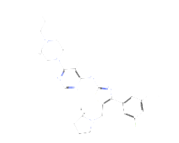 CCOC(=O)CCN1CCN(c2ncnc(Nc3nc(-c4cc(F)cc(C(F)(F)F)c4)c(CN4CCC[C@H]4C)s3)c2F)C[C@@H]1C